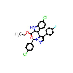 CCOC(=O)c1[nH]c2cc(Cl)ccc2c1-c1c(-c2ccc(F)cc2)cnn1Cc1ccc(Cl)cc1